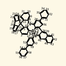 B1c2cccc3c2N(c2ccccc2C32c3ccccc3-c3ccccc32)c2cc(-c3ccccc3)cc(-c3cc4ccccc4cc3Nc3ccc(-c4ccccc4)cc3)c21